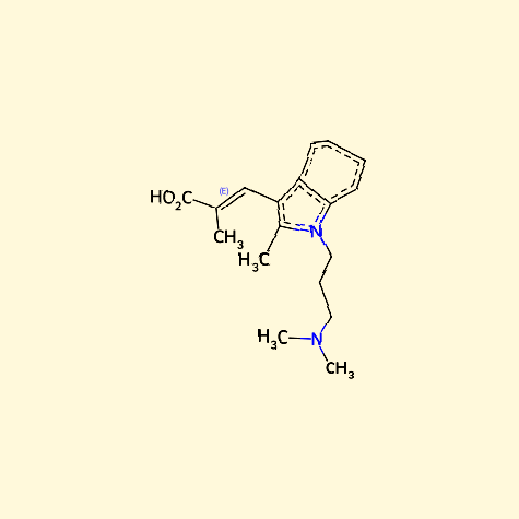 C/C(=C\c1c(C)n(CCCN(C)C)c2ccccc12)C(=O)O